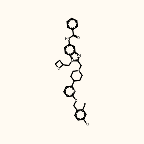 O=C(Nc1ccc2c(c1)nc(CN1CCC(c3cccc(OCc4ccc(Cl)cc4F)n3)CC1)n2CC1CCO1)c1ccccc1